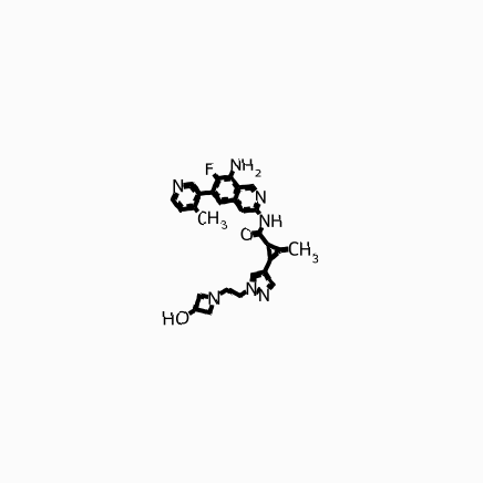 Cc1ccncc1-c1cc2cc(NC(=O)C3C(C)C3c3cnn(CCN4CC(O)C4)c3)ncc2c(N)c1F